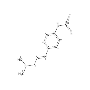 CC(O)CC=Nc1ccc(O[SH](=O)=O)cc1